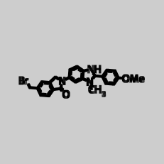 COc1ccc(C2Nc3ccc(N4Cc5cc(CBr)ccc5C4=O)cc3N2C)cc1